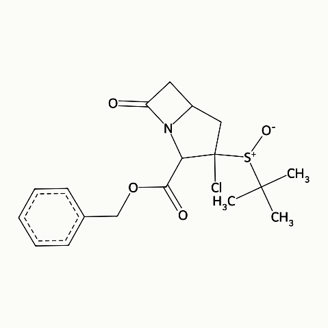 CC(C)(C)[S+]([O-])C1(Cl)CC2CC(=O)N2C1C(=O)OCc1ccccc1